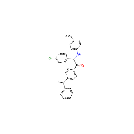 COc1ccc(NC(C(=O)c2ccc(C(C)c3ccccc3)cc2)c2ccc(Cl)cc2)cc1